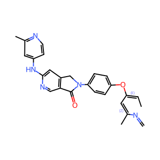 C=N/C(C)=C\C(=C/C)Oc1ccc(N2Cc3cc(Nc4ccnc(C)c4)ncc3C2=O)cc1